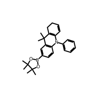 CC1(C)C2=C(C=CCC2)N(c2ccccc2)c2ccc(B3OC(C)(C)C(C)(C)O3)cc21